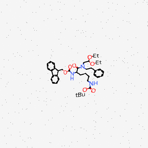 CCOC(CN(CCc1ccccc1)C(=O)C(CCCCNC(=O)OC(C)(C)C)NC(=O)OCC1c2ccccc2-c2ccccc21)OCC